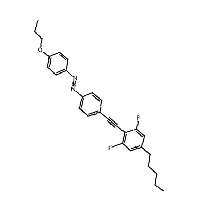 CCCCCc1cc(F)c(C#Cc2ccc(N=Nc3ccc(OCCC)cc3)cc2)c(F)c1